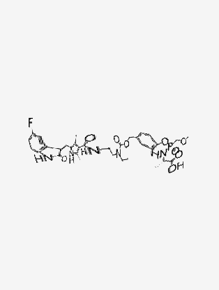 CCN(CCNC(=O)c1c(C)[nH]c(/C=C2\C(=O)Nc3ccc(F)cc32)c1C)C(=O)OCc1ccc(OP(=O)(COC)N[C@@H](C)C(=O)O)cc1